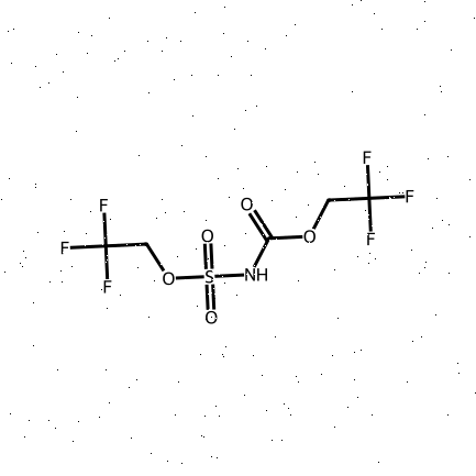 O=C(NS(=O)(=O)OCC(F)(F)F)OCC(F)(F)F